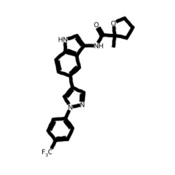 CC1(C(=O)Nc2c[nH]c3ccc(-c4cnn(-c5ccc(C(F)(F)F)cc5)c4)cc23)CCCO1